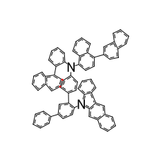 c1ccc(-c2ccc(-n3c4ccccc4c4cc5ccccc5cc43)c(-c3ccc(N(c4ccccc4-c4cccc5ccccc45)c4ccc(-c5ccc6ccccc6c5)c5ccccc45)cc3)c2)cc1